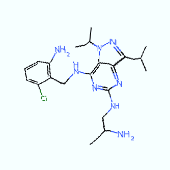 CC(N)CNc1nc(NCc2c(N)cccc2Cl)c2c(n1)c(C(C)C)nn2C(C)C